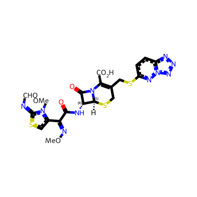 CON=C(C(=O)N[C@@H]1C(=O)N2C(C(=O)O)=C(CSc3ccc4nnnn4n3)CS[C@@H]12)c1csc(=NC=O)n1OC